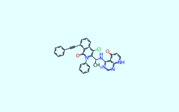 C[C@H](Nc1ncnc2[nH]ccc(=O)c12)c1c(Cl)c2cccc(C#Cc3ccccc3)c2c(=O)n1-c1ccccc1